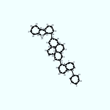 c1ccc(-c2cccc3c(-c4cc5ccc6cc(-c7cccc8c7oc7ccccc78)cc7ccc(c4)c5c67)cccc23)cc1